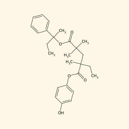 CCC(C)(CC(C)(C)C(=O)OC(C)(CC)c1ccccc1)C(=O)Oc1ccc(O)cc1